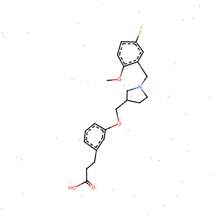 COc1ccc(F)cc1CN1CCC(COc2cccc(CCC(=O)O)c2)C1